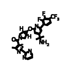 Cc1nc(-c2ncccn2)sc1C(=O)N1C[C@@H]2[C@H](C1)[C@@H]2Oc1cc(C(C)(C)N)cc(-c2ccc(C(F)(F)F)c(F)c2F)n1